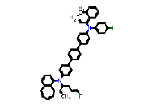 C=C/C(=C\C=C\F)N(c1ccc(-c2ccc(-c3ccc(N(C4=CCC(F)C=C4)/C(C=C)=c4\ccccc4=C)cc3)cc2)cc1)c1cccc2c1CC=CC=C2